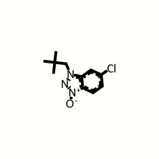 CC(C)(C)Cn1n[n+]([O-])c2ccc(Cl)cc21